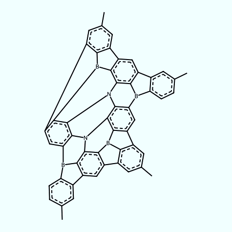 Cc1ccc2c(c1)-c1cc3c4c5c1B2c1cc2c6c7c1N5c1c5c(cc8c1N7c1c7c(cc9c1B6c1c-9cc(C)cc1-2)-c1cc(C)ccc1B87)-c1cc(C)cc-3c1B45